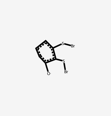 [O]c1cccc(SBr)c1SBr